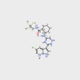 CN1C=C(F)C=C2C(c3nncc(N[C@@H]4CCCC[C@@H]4C(=O)NCC(F)(F)F)n3)=CNC21